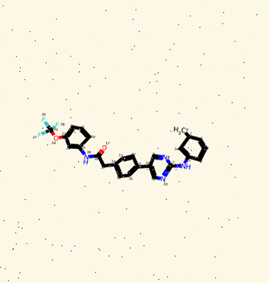 CC1C=C=CC(Nc2ncc(-c3ccc(CC(=O)Nc4cccc(OC(F)(F)F)c4)cc3)cn2)=C1